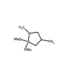 CO[Si]1(OC)CC(C)CN1C